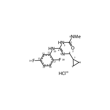 CNC(=O)NC(=NCC1CC1)Nc1cc(F)ccc1F.Cl